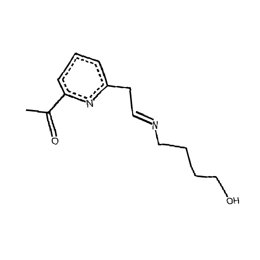 CC(=O)c1cccc(CC=NCCCCO)n1